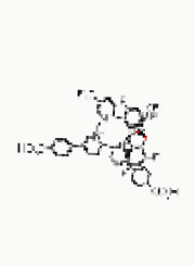 O=C(O)c1ccc(-c2ccc3[n+](c2)C[n+]2cc(C(F)(F)F)ccc2-c2c(F)cc(F)cc2C2(c4cc(F)cc(F)c4-c4ccc(C(F)(F)F)c[n+]42)[n+]2cc(-c4ccc(C(=O)O)cc4)ccc2-3)cc1